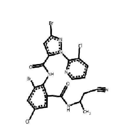 CC(CC#N)NC(=O)c1cc(Cl)cc(Br)c1NC(=O)c1cc(Br)nn1-c1ncccc1Cl